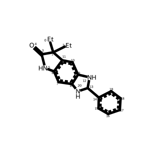 CCC1(CC)C(=O)Nc2cc3c(cc21)NC(c1ccccc1)N3